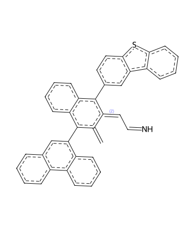 C=c1c(-c2cc3ccccc3c3ccccc23)c2ccccc2c(-c2ccc3sc4ccccc4c3c2)/c1=C/C=N